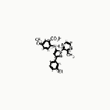 CCc1cccc(-c2cc(Nc3ccc(OC(F)(F)F)cc3C(=O)O)n(-c3nccnc3C)n2)c1